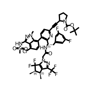 C[C@@H]1c2c(C(F)(F)F)nn(CC(=O)N[C@@H](Cc3cc(F)cc(F)c3)c3nc(C#CC4CCCN4C(=O)OC(C)(C)C)ccc3-c3ccc(Cl)c4c(NS(C)(=O)=O)nn(C)c34)c2C(F)(F)[C@@H]1C